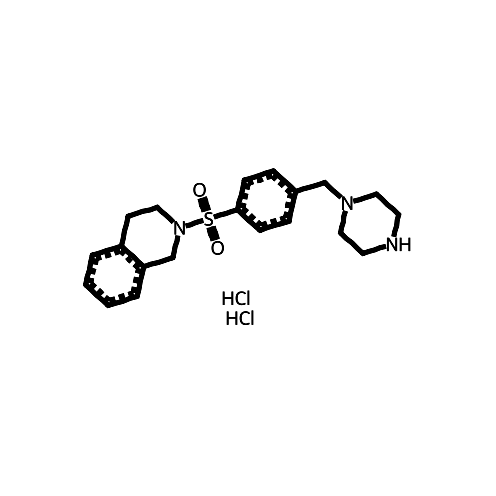 Cl.Cl.O=S(=O)(c1ccc(CN2CCNCC2)cc1)N1CCc2ccccc2C1